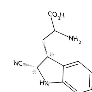 N#C[C@H]1Nc2ccccc2[C@H]1CC(N)C(=O)O